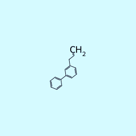 C=CCc1cccc(-c2ccccc2)c1